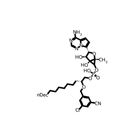 CCCCCCCCCCCCCCCCC[C@H](COP(=O)(O)OC1[C@@]2(C)O[C@@H](c3ccc4c(N)ncnn34)[C@H](O)[C@@]12O)OCc1cc(Cl)cc(C#N)c1